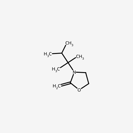 C=C1OCCN1C(C)(C)C(C)C